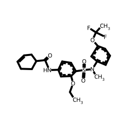 CCOc1cc(NC(=O)C2CC=CCC2)ccc1S(=O)(=O)N(C)c1cccc(OC(C)(F)F)c1